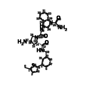 Cc1ccc(-c2cccc(CNC(=O)[C@@H]3C[C@H](N)CN3C(=O)Nc3cn(C(N)=O)c4ccccc34)c2)s1